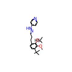 COc1c(C(C)(C)C)ccc(CC/C=N/Nc2ccncc2)c1O[SiH](C)C